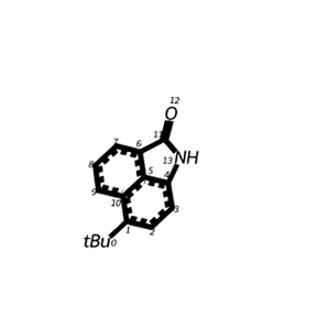 CC(C)(C)c1ccc2c3c(cccc13)C(=O)N2